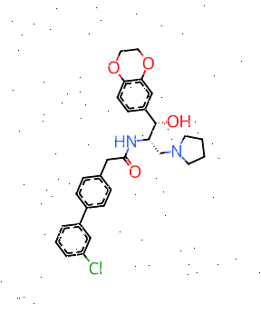 O=C(Cc1ccc(-c2cccc(Cl)c2)cc1)N[C@@H](CN1CCCC1)[C@@H](O)c1ccc2c(c1)OCCO2